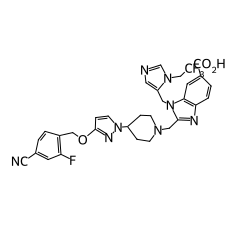 N#Cc1ccc(COc2ccn(C3CCN(Cc4nc5ccc(C(=O)O)cc5n4Cc4cncn4CC(F)(F)F)CC3)n2)c(F)c1